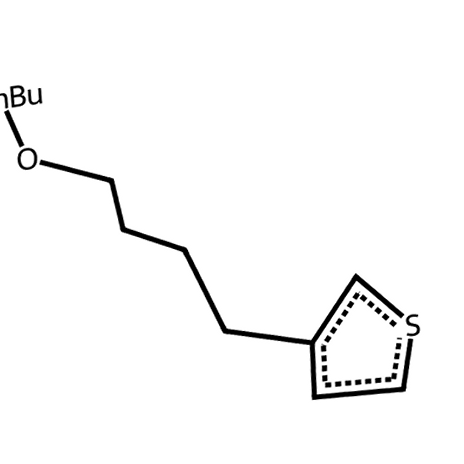 [CH2]CCCOCCCCc1ccsc1